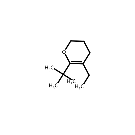 CCC1=C(C(C)(C)C)OCCC1